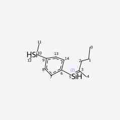 CCC/C(C)=[SiH]\c1ccc([SiH](C)C)cc1